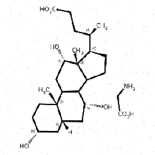 C[C@H](CCC(=O)O)[C@H]1CCC2C3C(C[C@H](O)[C@@]21C)[C@@]1(C)CC[C@@H](O)C[C@H]1C[C@H]3O.NCC(=O)O